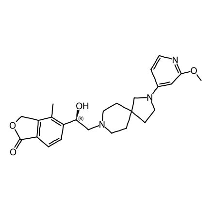 COc1cc(N2CCC3(CCN(C[C@H](O)c4ccc5c(c4C)COC5=O)CC3)C2)ccn1